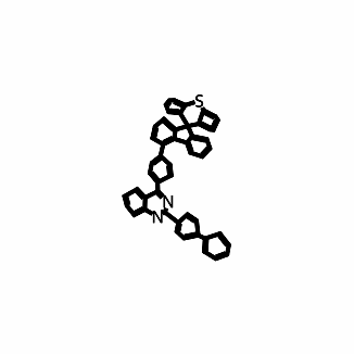 c1ccc(-c2ccc(-c3nc(-c4ccc(-c5cccc6c5-c5ccccc5C65c6ccccc6Sc6ccccc65)cc4)c4ccccc4n3)cc2)cc1